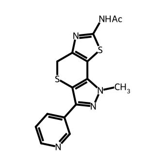 CC(=O)Nc1nc2c(s1)-c1c(c(-c3cccnc3)nn1C)SC2